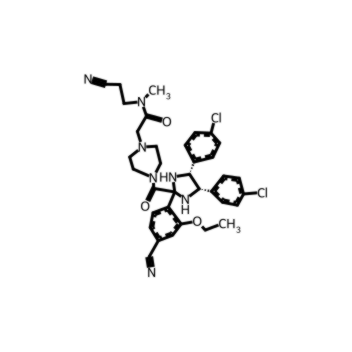 CCOc1cc(C#N)ccc1C1(C(=O)N2CCN(CC(=O)N(C)CCC#N)CC2)N[C@H](c2ccc(Cl)cc2)[C@H](c2ccc(Cl)cc2)N1